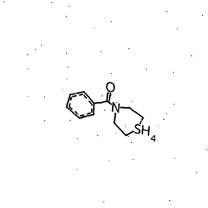 O=C(c1ccccc1)N1CC[SH4]CC1